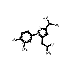 C[C](C)Cc1cc(C(C)C)nn1-c1ccc(O)c(N)c1